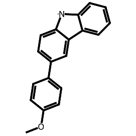 COc1ccc(-c2ccc3c(c2)-c2ccccc2[N]3)cc1